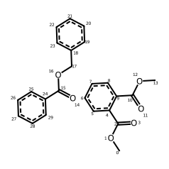 COC(=O)c1ccccc1C(=O)OC.O=C(OCc1ccccc1)c1ccccc1